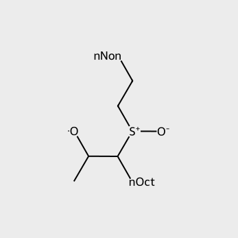 CCCCCCCCCCC[S+]([O-])C(CCCCCCCC)C(C)[O]